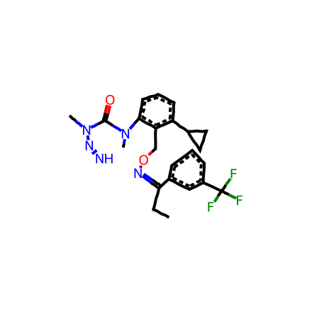 CC/C(=N/OCc1c(C2CC2)cccc1N(C)C(=O)N(C)N=N)c1cccc(C(F)(F)F)c1